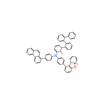 CC1C(N(c2ccc(-c3cccc4c3C3C=CC=CC3(C)O4)cc2)c2ccc(-c3cccc4c3ccc3ccccc34)cc2)=CC=CC1c1ccccc1-c1ccccc1-c1ccccc1